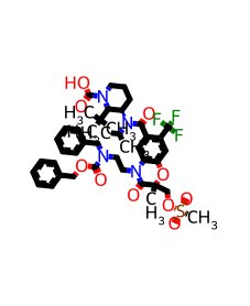 CC(C)N(C(=O)c1cc2c(cc1C(F)(F)F)OC(C)(COS(C)(=O)=O)C(=O)N2CCN(Cc1ccccc1)C(=O)OCc1ccccc1)[C@@H]1CCCN(C(=O)O)C1C(C)(C)C